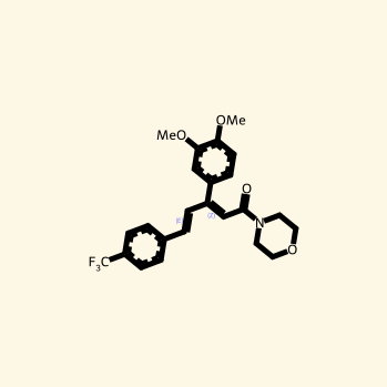 COc1ccc(C(=C\C(=O)N2CCOCC2)/C=C/c2ccc(C(F)(F)F)cc2)cc1OC